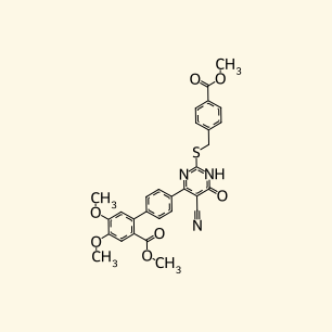 COC(=O)c1ccc(CSc2nc(-c3ccc(-c4cc(OC)c(OC)cc4C(=O)OC)cc3)c(C#N)c(=O)[nH]2)cc1